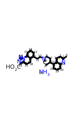 Cc1ccc2c(C3CCN(CCc4cccc5c4ccc4c(C(=O)O)nnn45)CC3)cccc2n1.N